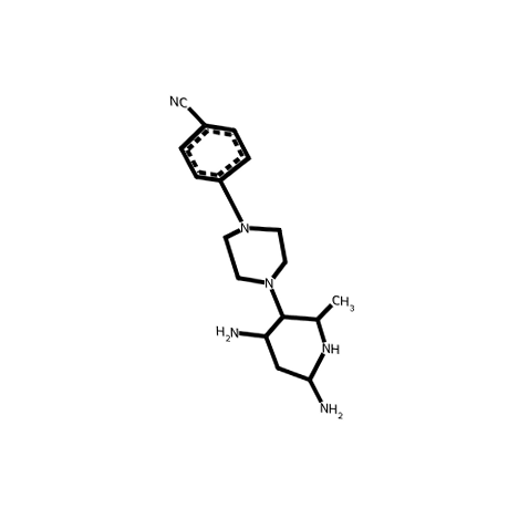 CC1NC(N)CC(N)C1N1CCN(c2ccc(C#N)cc2)CC1